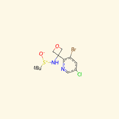 CC(C)(C)[S+]([O-])NC1(c2ncc(Cl)cc2Br)COC1